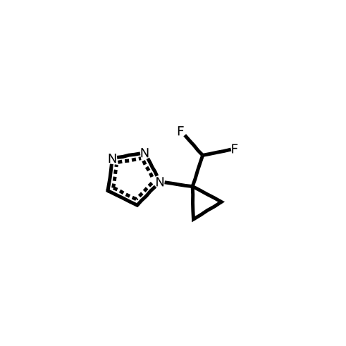 FC(F)C1(n2ccnn2)CC1